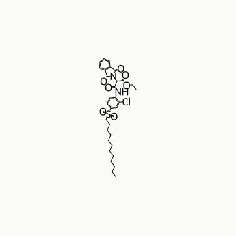 CCCCCCCCCCCCS(=O)(=O)c1ccc(NC(=O)C(C(=O)OCC)N2C(=O)c3ccccc3C2=O)c(Cl)c1